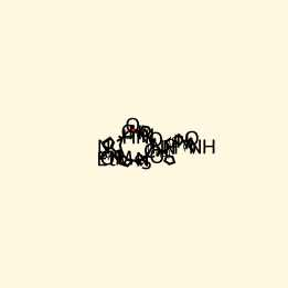 CCn1c(-c2cccnc2[C@H](C)OC)c2c3cc(ccc31)-c1csc(n1)C[C@H](NC(=O)[C@H](C1CCCC1)N1CC[C@]3(CCN(C(=O)[C@@]4(C)CN4)C3)C1)C(=O)N1CCC[C@H](N1)C(=O)OCC(C)(C)C2